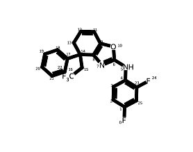 Fc1ccc(Nc2nc3c(o2)C=CCC3(CC(F)(F)F)c2ccccc2)c(F)c1